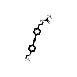 CCOc1ccc(C#Cc2ccc(CCNC(C)=O)cc2)cc1